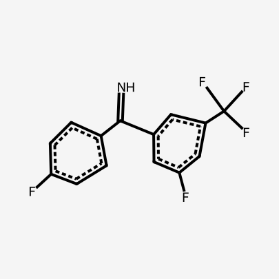 N=C(c1ccc(F)cc1)c1cc(F)cc(C(F)(F)F)c1